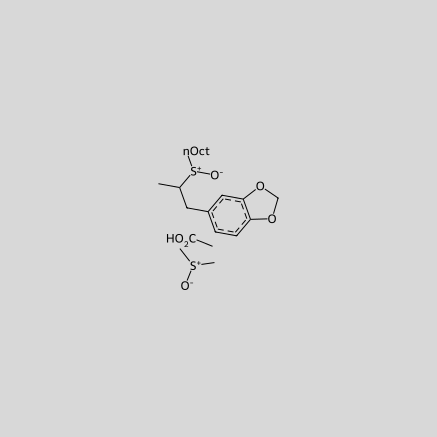 CC(=O)O.CCCCCCCC[S+]([O-])C(C)Cc1ccc2c(c1)OCO2.C[S+](C)[O-]